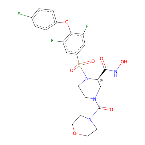 O=C(NO)[C@H]1CN(C(=O)N2CCOCC2)CCN1S(=O)(=O)c1cc(F)c(Oc2ccc(F)cc2)c(F)c1